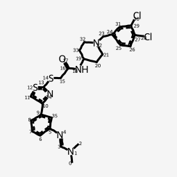 CN(C)C=Nc1cccc(-c2csc(SCC(=O)NC3CCN(Cc4ccc(Cl)c(Cl)c4)CC3)n2)c1